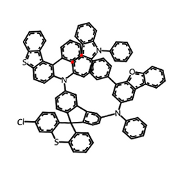 Clc1ccc2c(c1)Sc1ccccc1C21c2ccc(N(c3ccccc3)c3cc(-c4ccccc4)c4oc5ccccc5c4c3)cc2-c2cc(N(c3ccc4c(c3)c3ccccc3n4-c3ccccc3)c3ccc4sc5ccccc5c4c3-c3ccccc3)ccc21